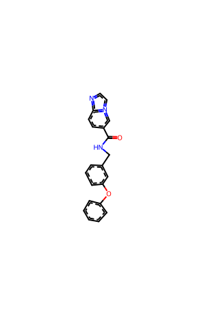 O=C(NCc1cccc(Oc2ccccc2)c1)c1ccc2nccn2c1